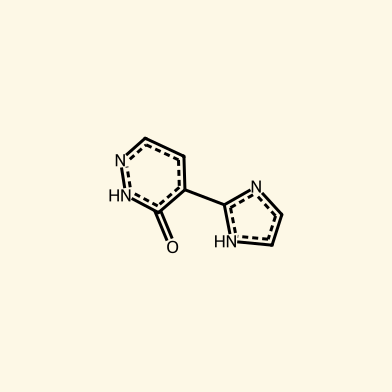 O=c1[nH]nccc1-c1ncc[nH]1